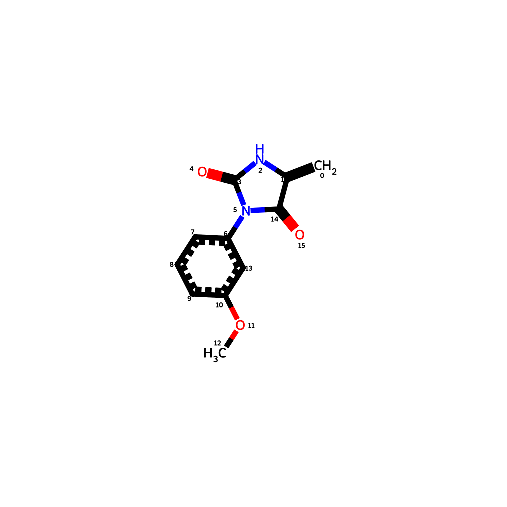 C=C1NC(=O)N(c2cccc(OC)c2)C1=O